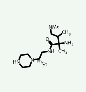 CC[C@@H](CNC(=O)C(C)(N)C(C)CNC)N1CCNCC1